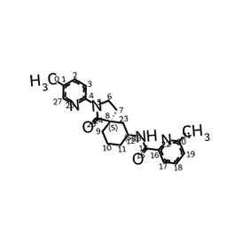 Cc1ccc(N2CC[C@]3(CCC[C@H](NC(=O)c4cccc(C)n4)C3)C2=O)nc1